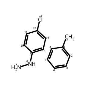 Cc1ccccc1.NNc1ccc(Cl)cc1